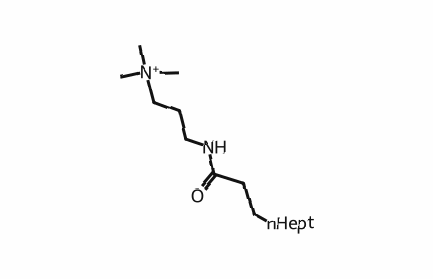 CCCCCCCCCC(=O)NCCC[N+](C)(C)C